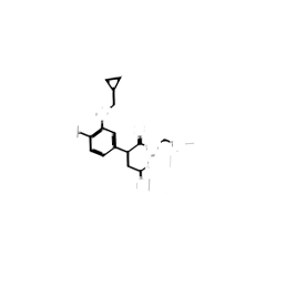 CCOC(=O)C(CC(C)C)c1ccc(I)c(OCC2CC2)c1